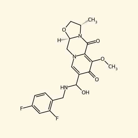 COc1c2n(cc(C(O)NCc3ccc(F)cc3F)c1=O)C[C@H]1OC[C@H](C)N1C2=O